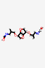 CC(CN=C=O)CO[C@H]1COC2C1OC[C@@H]2OCC(C)CN=C=O